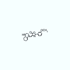 COc1cccc(C2=NC(=CN3CCNC4CCCC=C43)C(=O)O2)c1